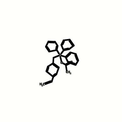 C=Cc1ccc(CP(OC(C)=O)(c2ccccc2)(c2ccccc2)c2ccccc2)cc1